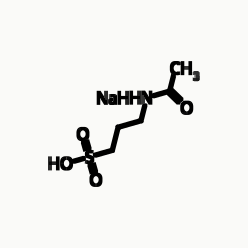 CC(=O)NCCCS(=O)(=O)O.[NaH]